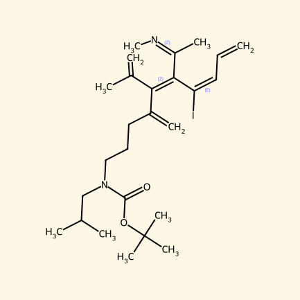 C=C\C=C(I)/C(C(/C)=N\C)=C(/C(=C)C)C(=C)CCCN(CC(C)C)C(=O)OC(C)(C)C